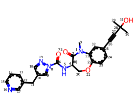 CN1C(=O)[C@H](NC(=O)n2cc(Cc3cccnc3)cn2)COc2ccc(C#CC(C)(C)O)cc21